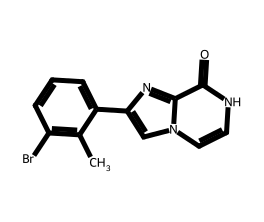 Cc1c(Br)cccc1-c1cn2cc[nH]c(=O)c2n1